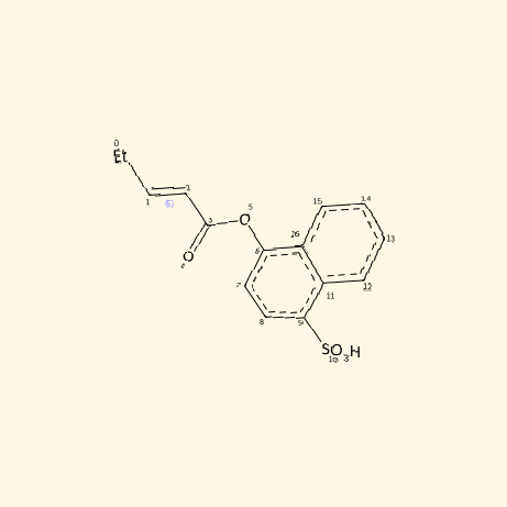 CC/C=C/C(=O)Oc1ccc(S(=O)(=O)O)c2ccccc12